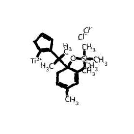 CC1=CCC(O[Si](C)(C)C)(C(C)(C)C2=[C]([Ti+2])CC=C2)C(C)=C1.[Cl-].[Cl-]